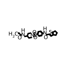 C=CC(=O)NCC1CCN(S(=O)(=O)c2ccc(NC(=O)c3cc4c(s3)CCC4)cc2)CC1